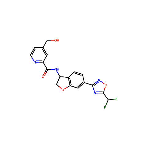 O=C(NC1COc2cc(-c3noc(C(F)F)n3)ccc21)c1cc(CO)ccn1